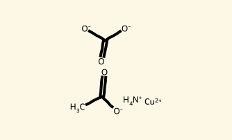 CC(=O)[O-].O=C([O-])[O-].[Cu+2].[NH4+]